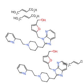 O=C(O)C=CC(=O)O.O=C(O)C=CC(=O)O.O=C(O)C=CC(=O)O.OCc1ccc(Cn2c(CC3CCN(CCc4ccccn4)CC3)nc3cccnc32)o1.OCc1ccc(Cn2c(CC3CCN(CCc4ccccn4)CC3)nc3cccnc32)o1